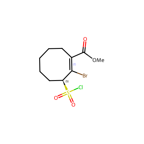 COC(=O)/C1=C(\Br)[C@@H](S(=O)(=O)Cl)CCCCC1